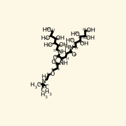 CC(C)(C)NCCOCCC(=O)NC(CCC(=O)NC[C@H](O)[C@@H](O)[C@H](O)[C@H](O)CO)C(=O)NC[C@H](O)[C@@H](O)[C@H](O)[C@H](O)CO